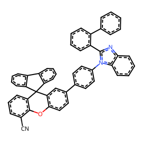 N#Cc1cccc2c1Oc1ccc(-c3ccc(-n4c(-c5ccccc5-c5ccccc5)nc5ccccc54)cc3)cc1C21c2ccccc2-c2ccccc21